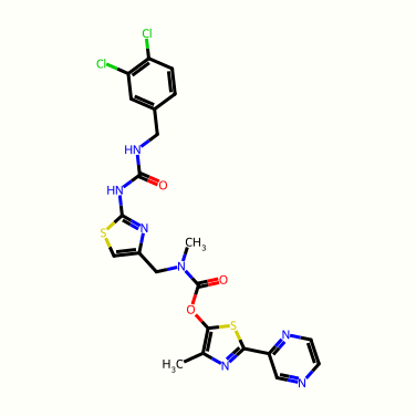 Cc1nc(-c2cnccn2)sc1OC(=O)N(C)Cc1csc(NC(=O)NCc2ccc(Cl)c(Cl)c2)n1